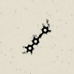 CCCc1c(F)cc(-c2ccc(C#Cc3cc(F)c(N=C=S)c(F)c3)c(C)c2)cc1F